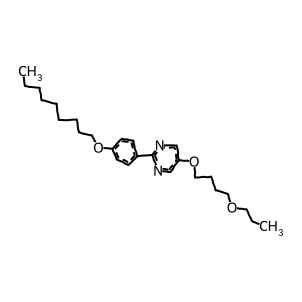 CCCCCCCCCOc1ccc(-c2ncc(OCCCCOCCC)cn2)cc1